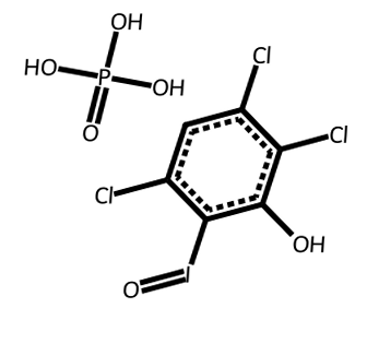 O=Ic1c(Cl)cc(Cl)c(Cl)c1O.O=P(O)(O)O